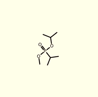 COP(=O)(OC(C)C)C(C)C